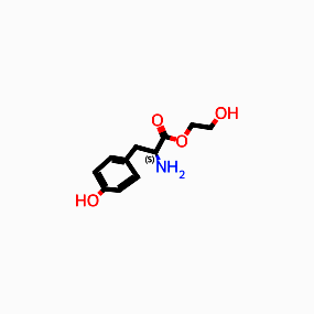 N[C@@H](Cc1ccc(O)cc1)C(=O)OCCO